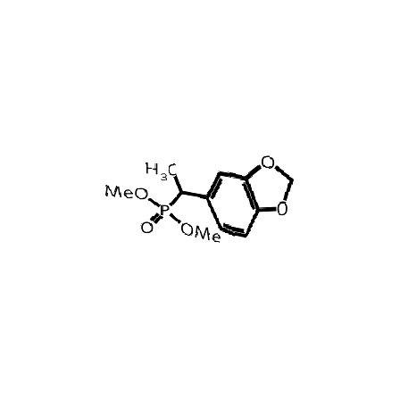 COP(=O)(OC)C(C)c1ccc2c(c1)OCO2